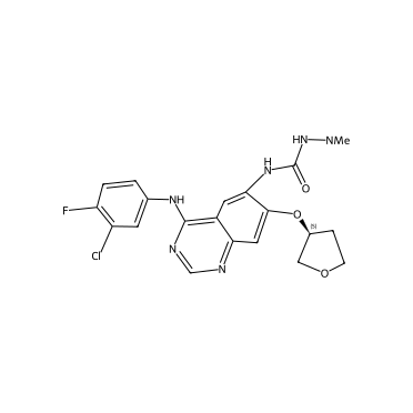 CNNC(=O)Nc1cc2c(Nc3ccc(F)c(Cl)c3)ncnc2cc1O[C@H]1CCOC1